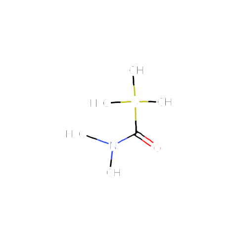 CN(C)C(=O)S(C)(C)C